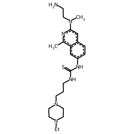 CCN1CCN(CCCNC(=S)Nc2ccc3cc(N(C)CCN)nc(C)c3c2)CC1